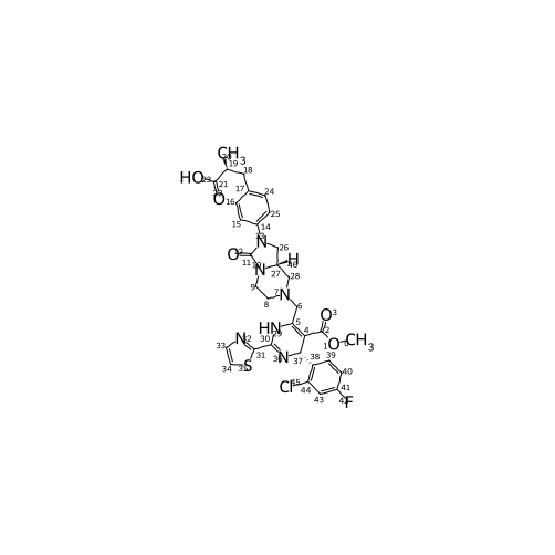 COC(=O)C1=C(CN2CCN3C(=O)N(c4ccc(C[C@H](C)C(=O)O)cc4)C[C@@H]3C2)NC(c2nccs2)=N[C@H]1c1ccc(F)cc1Cl